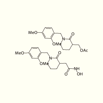 COc1ccc(CN2CCCC(CC(=O)NO)C2=O)c(OC)c1.COc1ccc(CN2CCCC(COC(C)=O)C2=O)c(OC)c1